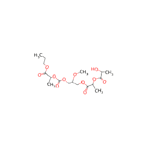 CCCOC(=O)C(C)OC(=O)OCC(COC(=O)C(C)OC(=O)C(C)O)OC